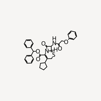 O=C(COc1ccccc1)NC1C(=O)N2C(C(=O)OC(c3ccccc3)c3ccccc3)=C(C3CCCC3)CS[C@H]12